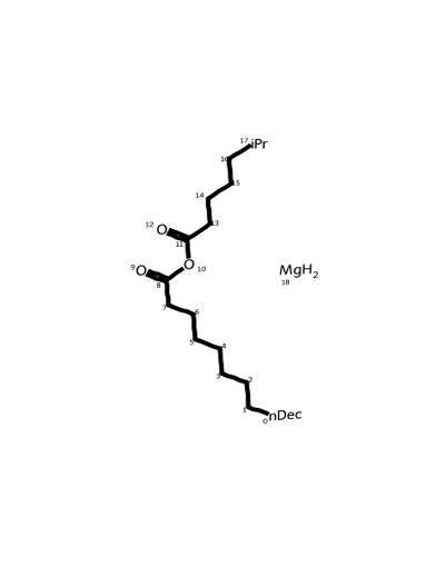 CCCCCCCCCCCCCCCCCC(=O)OC(=O)CCCCC(C)C.[MgH2]